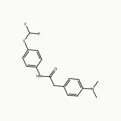 CN(C)c1ccc(CC(=O)Nc2ccc(SC(F)F)cc2)cc1